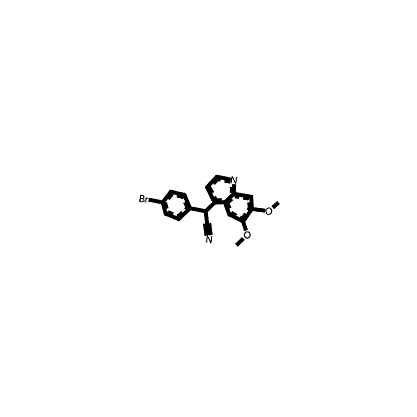 COc1cc2nccc(C(C#N)c3ccc(Br)cc3)c2cc1OC